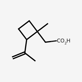 C=C(C)C1CCC1(C)CC(=O)O